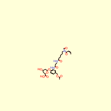 C/C=C\C(=O)N(C=O)CCCCCC(=O)NCCC(=O)Nc1cc(COC(C)=O)ccc1OC1CC(O)CC(C(=O)O)O1